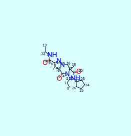 CCCN1C(=O)c2cc(C(=O)NCC)nn2CC1(C)C(=O)NC1CCCC1